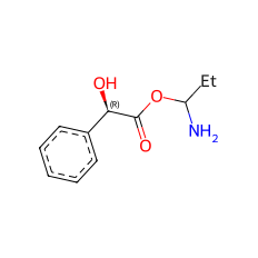 CCC(N)OC(=O)[C@H](O)c1ccccc1